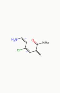 C=C(/C=C(Cl)\C=C/N)C(=O)NC